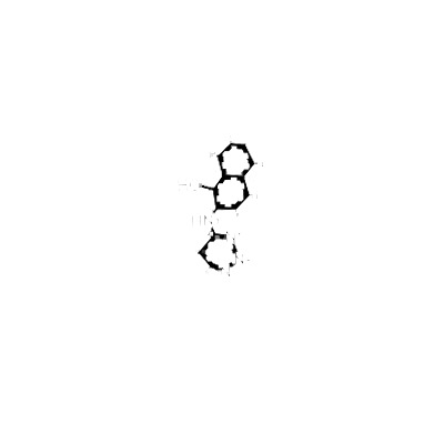 Oc1c(Nc2ccnnn2)ccc2ccccc12